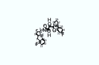 O=C(NCC1CC(Cc2c(F)cccc2F)=CS1)[C@H](O)[C@@H](O)C(=O)N1CCCC1c1ccc(F)cc1